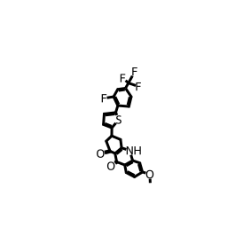 COc1ccc2c(=O)c3c([nH]c2c1)CC(c1ccc(-c2ccc(C(F)(F)F)cc2F)s1)CC3=O